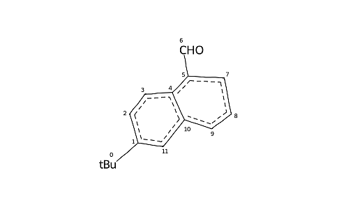 CC(C)(C)c1ccc2c(C=O)cccc2c1